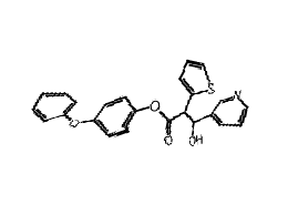 O=C(Oc1ccc(Oc2ccccc2)cc1)C(c1cccs1)C(O)c1cccnc1